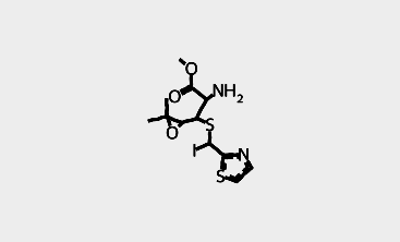 COC(=O)C(N)C(SC(I)c1nccs1)C1OC1(C)C